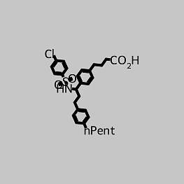 CCCCCc1ccc(CCC(NS(=O)(=O)c2ccc(Cl)cc2)c2ccc(CCCC(=O)O)cc2)cc1